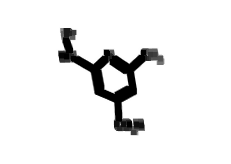 Cc1cc(C(=O)O)cc(NC(C)C)n1